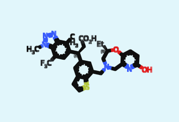 CC[C@@H]1CN(Cc2cc([C@H](CC(=O)O)c3cc(C(F)(F)F)c4c(nnn4C)c3C)cc3ccsc23)Cc2nc(O)ccc2O1